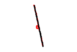 CCCCCCCCCCCCCCCCCCCCCCCCCCCCC(=O)CCCCCCCCCCCCCCCCCCCCCCCCCC